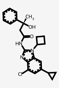 C[C@@](O)(CC(=O)Nc1nc2c(Cl)cc(C3CC3)cc2n1C1CCC1)c1ccccc1